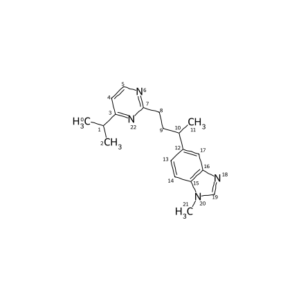 CC(C)c1ccnc(CCC(C)c2ccc3c(c2)ncn3C)n1